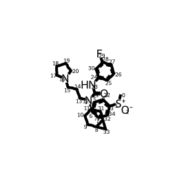 C[S+]([O-])c1cccc([C@]23CC[C@@H](N(CCCN4CCCC4)C(=O)Nc4cccc(F)c4)CC2C3)c1